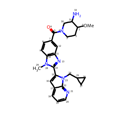 COC1CCN(C(=O)c2ccc3c(c2)nc(-c2cc4cccnc4n2CC2CC2)n3C)CC1N